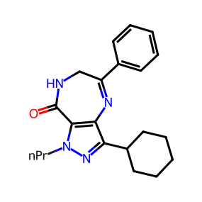 CCCn1nc(C2CCCCC2)c2c1C(=O)NCC(c1ccccc1)=N2